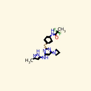 Cc1cc(Nc2cc(N3CCC3)nc(Sc3ccc(NC(=O)C(C)(F)F)cc3)n2)[nH]n1